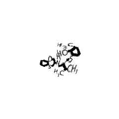 Cc1cccc(SC[C@@H](CNC2COc3ccccc3SC2)C(C)C)c1O